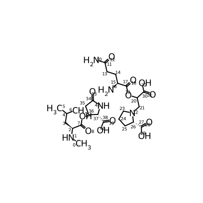 CN[C@@H](CC(C)C)C(=O)O.NC(=O)CC[C@H](N)C(=O)OC(CN1CCC[C@H]1C(=O)O)C(=O)O.O=C1CC[C@@H](C(=O)O)N1